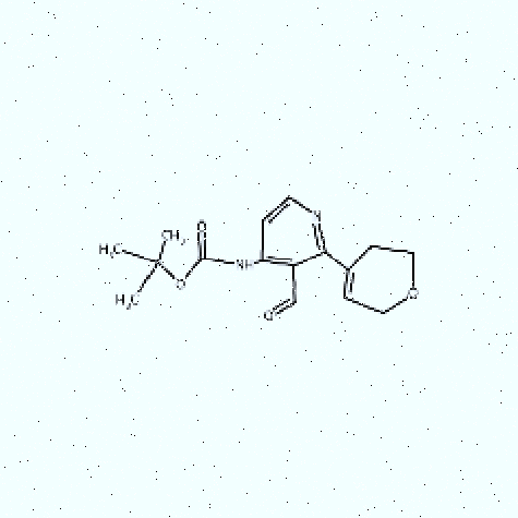 CC(C)(C)OC(=O)Nc1ccnc(C2=CCOCC2)c1C=O